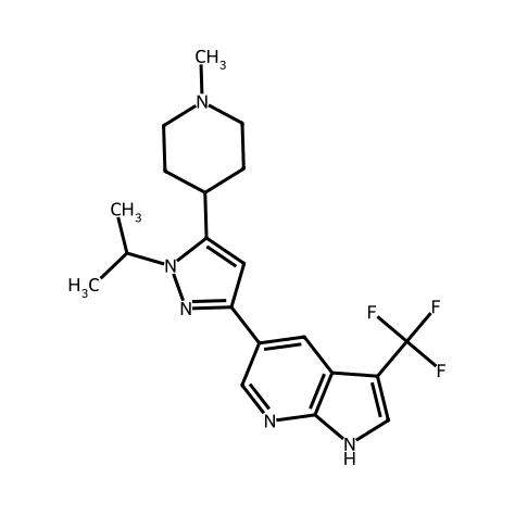 CC(C)n1nc(-c2cnc3[nH]cc(C(F)(F)F)c3c2)cc1C1CCN(C)CC1